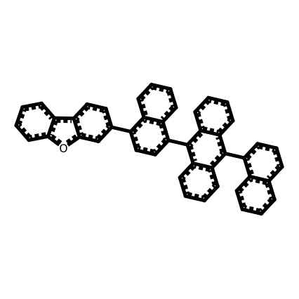 c1ccc2c(-c3c4ccccc4c(-c4ccc(-c5ccc6c(c5)oc5ccccc56)c5ccccc45)c4ccccc34)cccc2c1